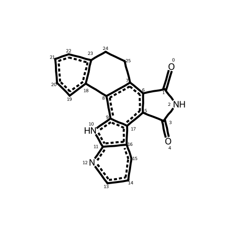 O=C1NC(=O)c2c1c1c(c3[nH]c4ncccc4c23)-c2ccccc2CC1